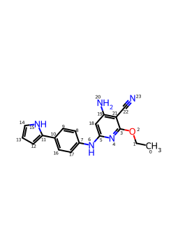 CCOc1nc(Nc2ccc(-c3ccc[nH]3)cc2)cc(N)c1C#N